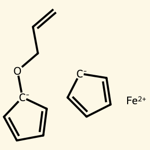 C=CCO[c-]1cccc1.[Fe+2].c1cc[cH-]c1